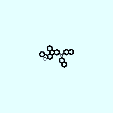 c1ccc2cc(N(c3ccc4ccccc4c3)c3ccc4c5ccccc5c5c(ccc6oc7ccccc7c65)c4c3)ccc2c1